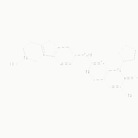 CN1CCc2oc3cc(Nc4ncc5cc(C#N)c(=O)n(C6CCCC6)c5n4)ccc3c2C1